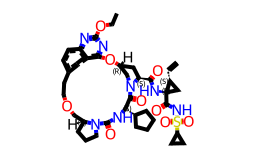 C=C[C@@H]1C[C@]1(NC(=O)[C@@H]1C[C@@H]2CN1C(=O)[C@H](C1CCCC1)NC(=O)N1CCC[C@H]1COCCc1ccc3nc(OCC)nc(c3c1)O2)C(=O)NS(=O)(=O)C1CC1